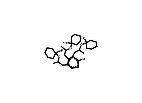 CCCC1(OC(C)Cc2ccc(O)c(CC(C)OC3(CCC)CCCCC3)c2CC(C)OC2(CCC)CCCCC2)CCCCC1